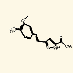 COc1cc(C=Cc2cc(C(=O)O)[nH]n2)ccc1O